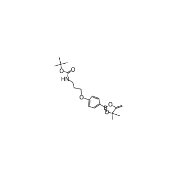 C=C1OB(c2ccc(OCCCNC(=O)OC(C)(C)C)cc2)OC1(C)C